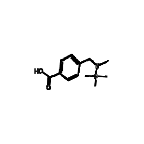 CN(Cc1ccc(C(=O)O)cc1)[Si](C)(C)C